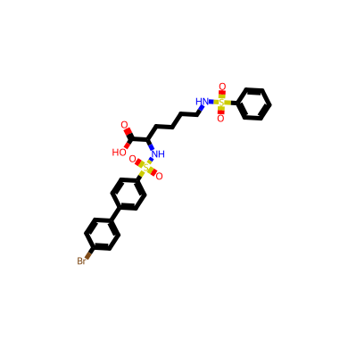 O=C(O)C(CCCCNS(=O)(=O)c1ccccc1)NS(=O)(=O)c1ccc(-c2ccc(Br)cc2)cc1